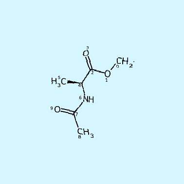 [CH2]OC(=O)[C@H](C)NC(C)=O